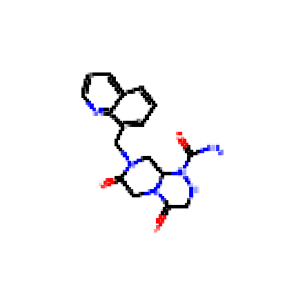 NC(=O)N1NCC(=O)N2CC(=O)N(Cc3cccc4cccnc34)CC21